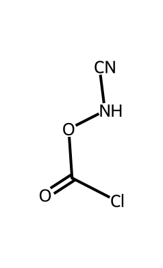 N#CNOC(=O)Cl